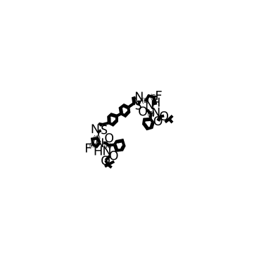 CC(C)(C)OC(=O)N[C@@H](C(=O)N1C[C@H](F)C[C@H]1c1ncc(-c2ccc(-c3ccc(-c4cnc([C@@H]5C[C@@H](F)CN5C(=O)[C@H](NC(=O)OC(C)(C)C)c5ccccc5)s4)cc3)cc2)s1)c1ccccc1